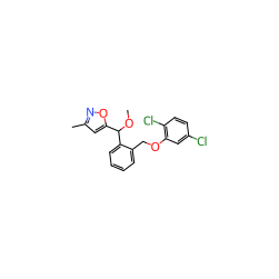 COC(c1cc(C)no1)c1ccccc1COc1cc(Cl)ccc1Cl